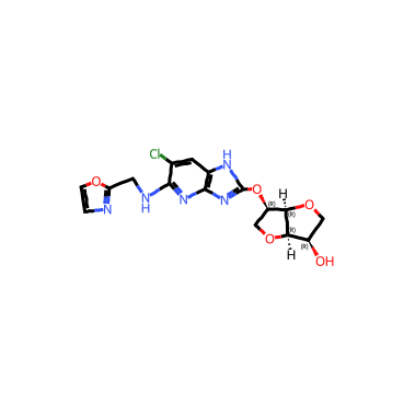 O[C@@H]1CO[C@H]2[C@@H]1OC[C@H]2Oc1nc2nc(NCc3ncco3)c(Cl)cc2[nH]1